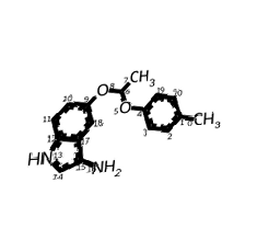 Cc1ccc(OC(C)Oc2ccc3[nH]cc(N)c3c2)cc1